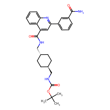 CC(C)(C)OC(=O)NC[C@H]1CC[C@H](CNC(=O)c2cc(-c3cccc(C(N)=O)c3)nc3ccccc23)CC1